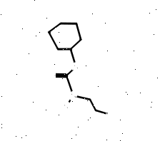 O=NN(CCF)C(=O)NC1CCCCC1